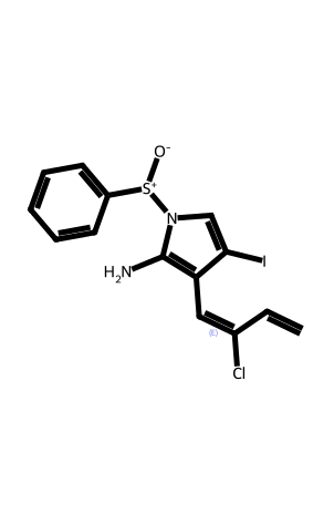 C=C/C(Cl)=C\c1c(I)cn([S+]([O-])c2ccccc2)c1N